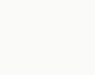 CCCCN(C(=O)c1cccs1)c1ccc(O)c(C(=O)O)c1